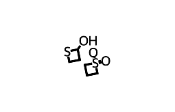 O=S1(=O)CCC1.OC1CCS1